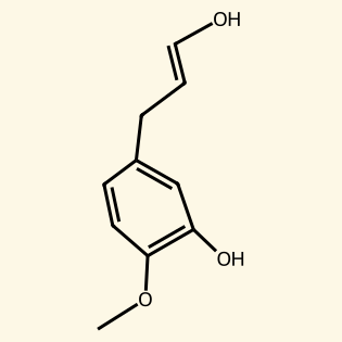 COc1ccc(CC=CO)cc1O